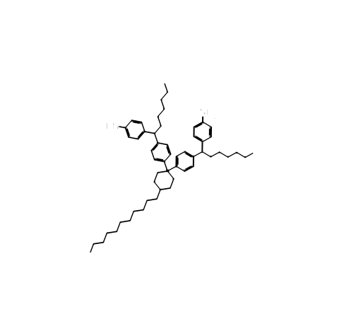 CCCCCCCCCCCC1CCC(c2ccc(C(CCCCCC)c3ccc(N)cc3)cc2)(c2ccc(C(CCCCCC)c3ccc(N)cc3)cc2)CC1